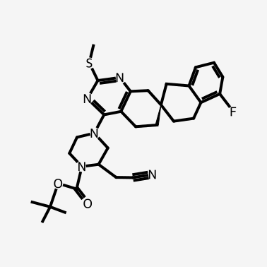 CSc1nc2c(c(N3CCN(C(=O)OC(C)(C)C)C(CC#N)C3)n1)CC[C@@]1(CCc3c(F)cccc3C1)C2